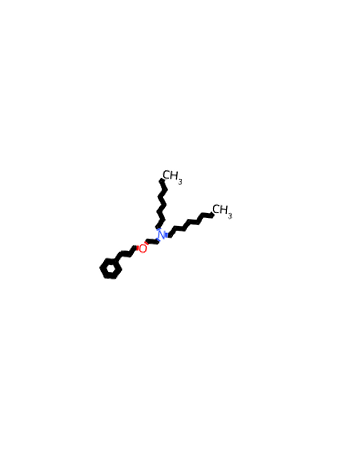 CCCCCCCCN(CCCCCCCC)CCOCC=Cc1ccccc1